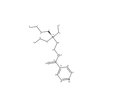 CCCC[N@+](CC)(CCC)CCOC(=O)c1ccncc1